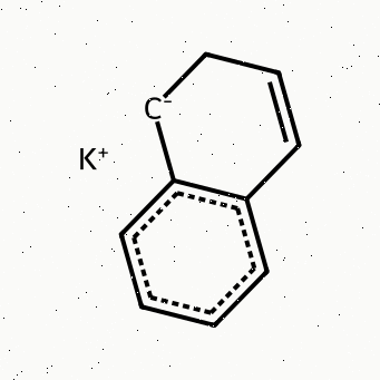 C1=Cc2ccccc2[CH-]C1.[K+]